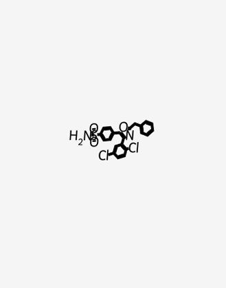 NS(=O)(=O)c1ccc(-c2oc(Cc3ccccc3)nc2-c2cc(Cl)ccc2Cl)cc1